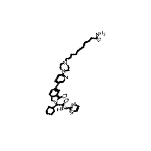 NC(=O)CCCCCCCCCN1CCN(c2ccc(-c3ccc4c(c3)C(=O)N(C(C(=O)Nc3nccs3)c3ccccc3)C4)cn2)CC1